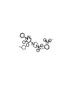 CC1CCC(Oc2c(N3CCN(S(=O)(=O)Cc4cccc([N+](=O)[O-])c4)CC3)cnn(-c3ccccc3)c2=O)C1